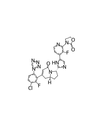 O=C1OCCN1c1nccc(-c2cnc([C@@H]3CC[C@@H]4CC(c5c(-n6cnnn6)ccc(Cl)c5F)=CC(=O)N43)[nH]2)c1F